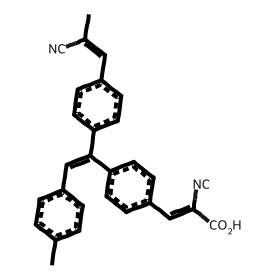 [C-]#[N+]/C(=C\c1ccc(/C(=C\c2ccc(C)cc2)c2ccc(/C=C(/C)C#N)cc2)cc1)C(=O)O